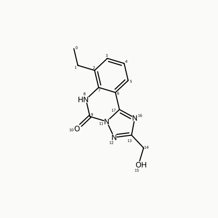 CCc1cccc2c1[nH]c(=O)n1nc(CO)nc21